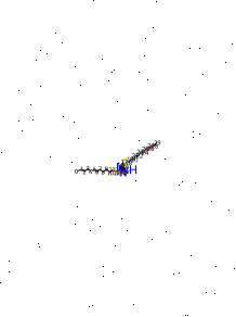 CCCCCCCCCCCCSc1n[nH]c(SCCCCCCCCCCCC)n1